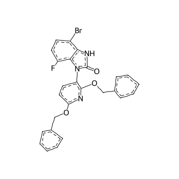 O=c1[nH]c2c(Br)ccc(F)c2n1-c1ccc(OCc2ccccc2)nc1OCc1ccccc1